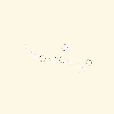 O=C(NS(=O)(=O)c1ccc(NCCCN2CCOCC2)c([N+](=O)[O-])c1)c1ccc(N2CCC(CN3CCCC[C@H]3c3ccc(Cl)cc3)CC2)cc1Oc1cnnc(O)c1